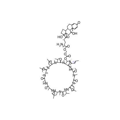 C/C=C/C[C@@H](C)C(OC(=O)OCOC(=O)[C@H](N)C[CH]C(=O)[C@@]1(O)CCC2C3CCC4=CC(=O)C=C[C@]4(C)C3[C@@H](O)C[C@@]21C)C1C(=O)N[C@H](CC)C(=O)N(C)CC(=O)N(C)[C@@H](CC(C)C)C(=O)NC(C(C)C)C(=O)N(C)C(CC(C)C)C(=O)NC(C)C(=O)NC(C)C(=O)N(C)[C@H](CC(C)C)C(=O)N(C)C(CC(C)C)C(=O)N(C)C(C(C)C)C(=O)N1C